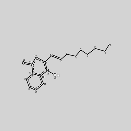 CCCCCCCC=Cc1cc(=O)c2ccccc2n1O